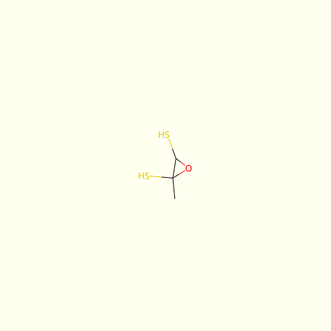 CC1(S)OC1S